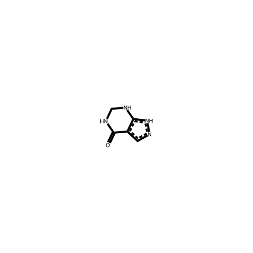 O=C1NCNc2[nH]ncc21